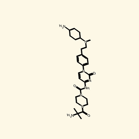 CN(CCc1ccc(-n2ccc(NC(=O)N3CCN(C(=O)C(C)(C)N)CC3)nc2=O)cc1)C1CCC(N)CC1